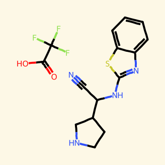 N#CC(Nc1nc2ccccc2s1)C1CCNC1.O=C(O)C(F)(F)F